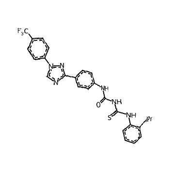 CC(C)c1ccccc1NC(=S)NC(=O)Nc1ccc(-c2ncn(-c3ccc(C(F)(F)F)cc3)n2)cc1